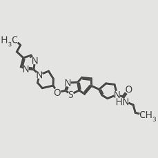 CCCNC(=O)N1CC=C(c2ccc3nc(OC4CCN(c5ncc(CCC)cn5)CC4)sc3c2)CC1